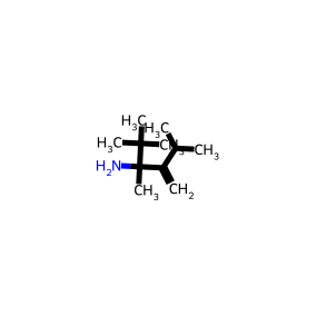 C=C(C(C)C)C(C)(N)C(C)(C)C